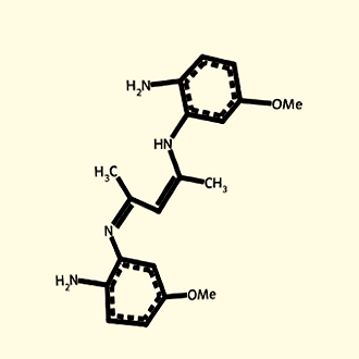 COc1ccc(N)c(N=C(C)/C=C(/C)Nc2cc(OC)ccc2N)c1